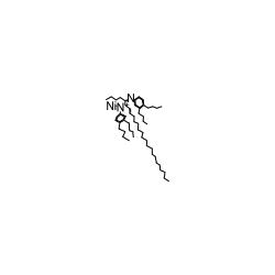 CCCCCCCCCCCCCCCCCC=CC(C(CCCC)=Nc1ccc(CCCC)c(CCCC)c1)=[N+]([Ni])c1ccc(CCCC)c(CCCC)c1